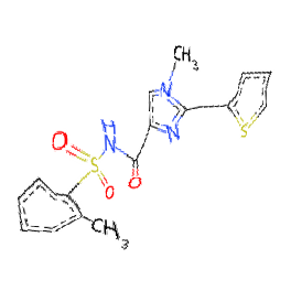 Cc1ccccc1S(=O)(=O)NC(=O)c1cn(C)c(-c2cccs2)n1